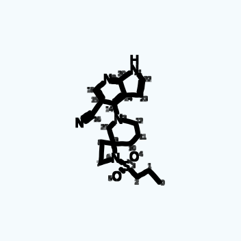 CCCS(=O)(=O)N1CCC12CCCN(c1c(C#N)cnc3[nH]ccc13)C2